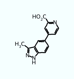 Cc1n[nH]c2ccc(-c3ccnc(C(=O)O)c3)cc12